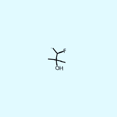 [CH2]C(F)C(C)(C)O